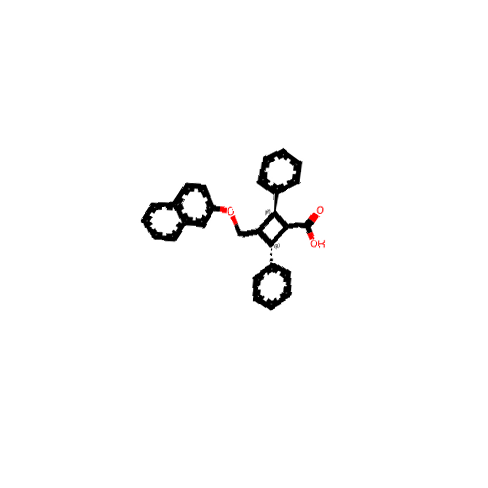 O=C(O)C1[C@H](c2ccccc2)C(COc2ccc3ccccc3c2)[C@H]1c1ccccc1